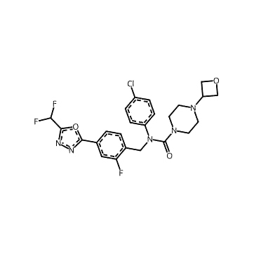 O=C(N1CCN(C2COC2)CC1)N(Cc1ccc(-c2nnc(C(F)F)o2)cc1F)c1ccc(Cl)cc1